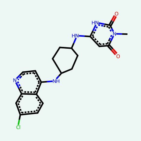 Cn1c(=O)cc(NC2CCC(Nc3ccnc4cc(Cl)ccc34)CC2)[nH]c1=O